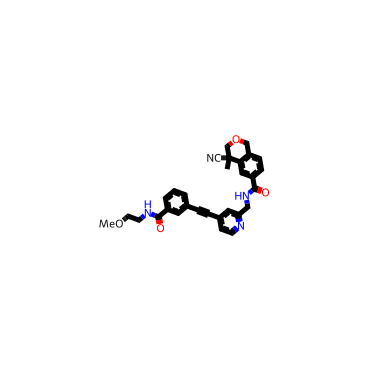 COCCNC(=O)c1cccc(C#Cc2ccnc(CNC(=O)c3ccc4c(c3)C(C)(C#N)COC4)c2)c1